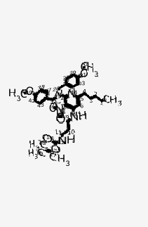 CCCCCc1cc(NCCCNC(=O)OC(C)(C)C)c([N+](=O)[O-])c(N(Cc2ccc(OC)cc2)Cc2ccc(OC)cc2)n1